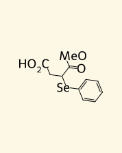 COC(=O)C(CC(=O)O)[Se]c1ccccc1